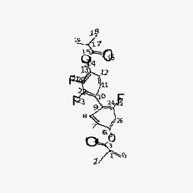 C=C(C)C(=O)Oc1ccc(-c2ccc(OC(=O)C(C)C)c(F)c2F)c(F)c1